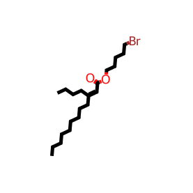 CCCCCCCCC/C(=C/C(=O)OCCCCCBr)CCCC